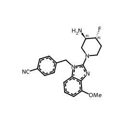 COc1cccc2c1nc(N1CC[C@@H](F)[C@H](N)C1)n2Cc1ccc(C#N)cc1